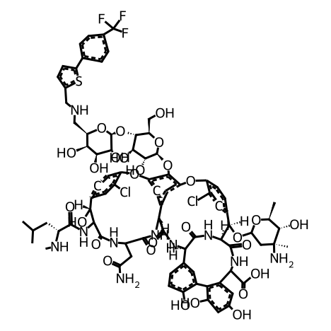 CN[C@H](CC(C)C)C(=O)NC1C(=O)NC(CC(N)=O)C(=O)N[C@H]2C(=O)N[C@H]3C(=O)N[C@H](C(=O)NC(C(=O)O)c4cc(O)cc(O)c4-c4cc3ccc4O)[C@H](OC3C[C@](C)(N)[C@@H](O)[C@H](C)O3)c3ccc(c(Cl)c3)Oc3cc2cc(c3O[C@@H]2O[C@H](CO)[C@@H](O[C@@H]3O[C@H](CNCc4ccc(-c5ccc(C(F)(F)F)cc5)s4)[C@H](O)[C@H](O)[C@H]3O)[C@H](O)[C@H]2O)Oc2ccc(cc2Cl)[C@H]1O